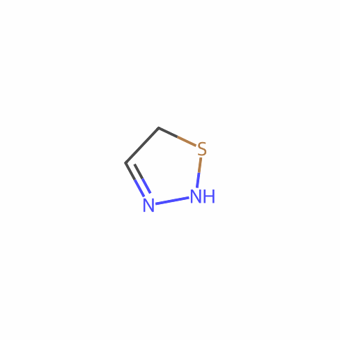 C1=NNSC1